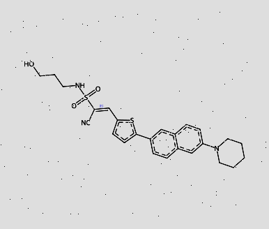 N#C/C(=C\c1ccc(-c2ccc3cc(N4CCCCC4)ccc3c2)s1)S(=O)(=O)NCCCO